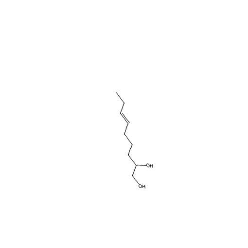 CCC=CCCCC(O)CO